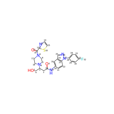 O=C(CC(CO)N1CCN(C(=O)c2nccs2)CC1)Nc1ccc2c(cnn2-c2ccc(F)cc2)c1